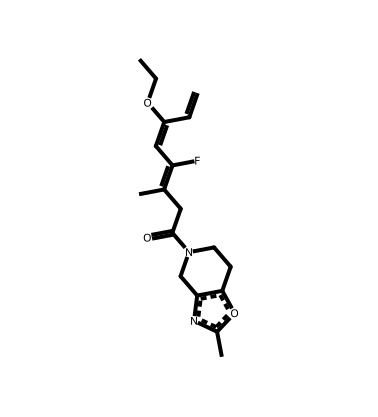 C=C/C(=C\C(F)=C(/C)CC(=O)N1CCc2oc(C)nc2C1)OCC